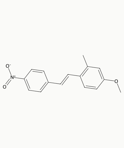 COc1ccc(C=Cc2ccc([N+](=O)[O-])cc2)c(C)c1